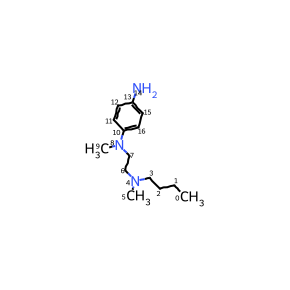 CCCCN(C)CCN(C)c1ccc(N)cc1